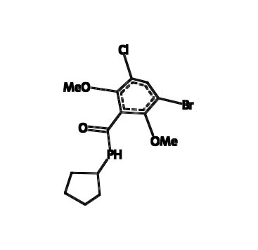 COc1c(Cl)cc(Br)c(OC)c1C(=O)PC1CCCC1